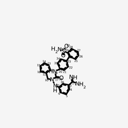 N=C(N)c1cccc(NN(Cc2ccccc2)C(=O)Nc2ccc(-c3ccccc3S(N)(=O)=O)cc2)c1